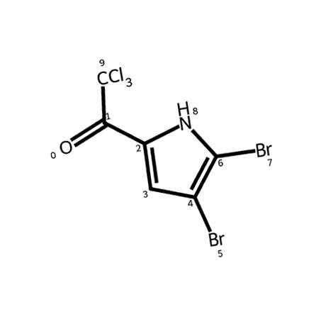 O=C(c1cc(Br)c(Br)[nH]1)C(Cl)(Cl)Cl